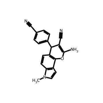 Cn1ccc2c3c(ccc21)C(c1ccc(C#N)cc1)C(C#N)=C(N)O3